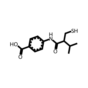 CC(C)C(CS)C(=O)Nc1ccc(C(=O)O)cc1